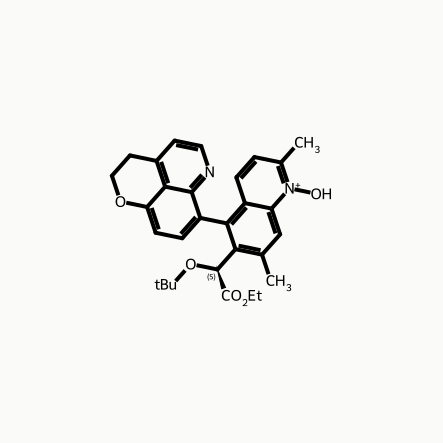 CCOC(=O)[C@@H](OC(C)(C)C)c1c(C)cc2c(ccc(C)[n+]2O)c1-c1ccc2c3c(ccnc13)CCO2